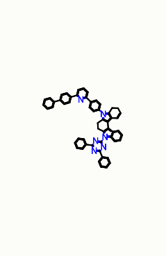 C1=Cc2c3c(n(-c4ccc(-c5cccc(-c6ccc(-c7ccccc7)cc6)n5)cc4)c2CC1)CCc1c-3c2ccccc2n1-c1nc(-c2ccccc2)nc(-c2ccccc2)n1